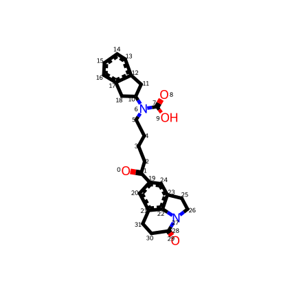 O=C(CCCCN(C(=O)O)C1Cc2ccccc2C1)c1cc2c3c(c1)CCN3C(=O)CC2